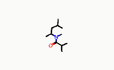 CC(C)CC(C)N(C)C(=O)C(C)C